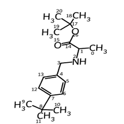 CC(NCc1ccc(C(C)(C)C)cc1)C(=O)OC(C)(C)C